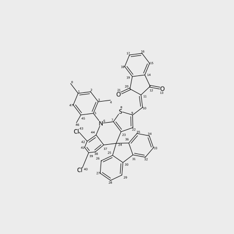 Cc1cc(C)c(N2c3sc(C=C4C(=O)c5ccccc5C4=O)cc3C3(c4ccccc4-c4ccccc43)c3cc(Cl)cc(Cl)c32)c(C)c1